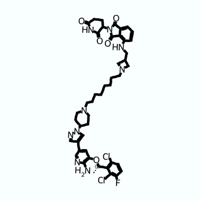 C[C@H](Oc1cc(-c2cnn(C3CCN(CCCCCCCCN4CC(CNc5cccc6c5C(=O)N(C5CCC(=O)NC5=O)C6=O)C4)CC3)c2)cnc1N)c1c(Cl)ccc(F)c1Cl